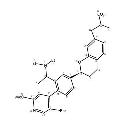 CCN(CC)C(C)c1cc([C@@H]2CCc3ccc(CC(C)C(=O)O)cc3O2)ccc1-c1cc(OC)ncc1F